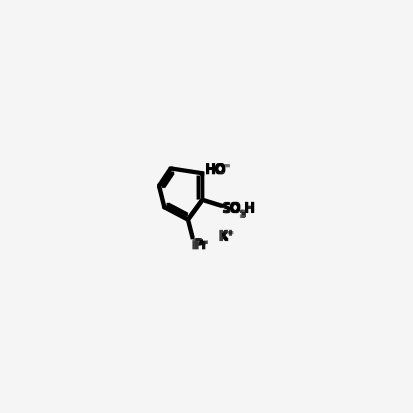 CC(C)c1ccccc1S(=O)(=O)O.[K+].[OH-]